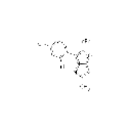 CCCc1oc2cc(C)nn2c1-c1ccc(Cl)cc1Cl